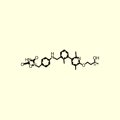 Cc1cc(-c2cccc(CNc3ccc(Cn4oc(=O)[nH]c4=O)cc3)c2C)c(C)nc1OCC[C@H](C)O